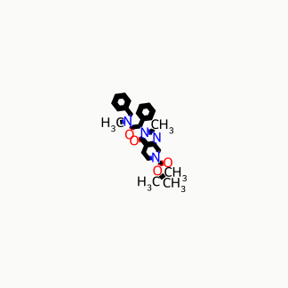 Cc1nc2c(c(=O)n1C(C(=O)N(C)Cc1ccccc1)c1ccccc1)CCN(C(=O)OC(C)(C)C)C2